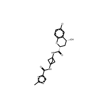 Cc1ncc(C(=O)NC23CC(NC(=O)[C@H]4C[C@@H](O)c5cc(Cl)ccc5O4)(C2)C3)s1